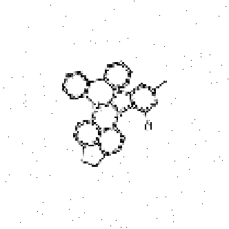 Cc1cc(Cl)c2c(c1)nc1n(-c3ccccc3-c3ccccc3)c3ccc4c5c(ccc(c53)n21)CC4